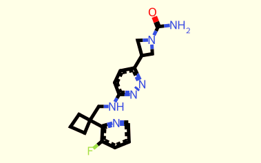 NC(=O)N1CC(c2ccc(NCC3(c4ncccc4F)CCC3)nn2)C1